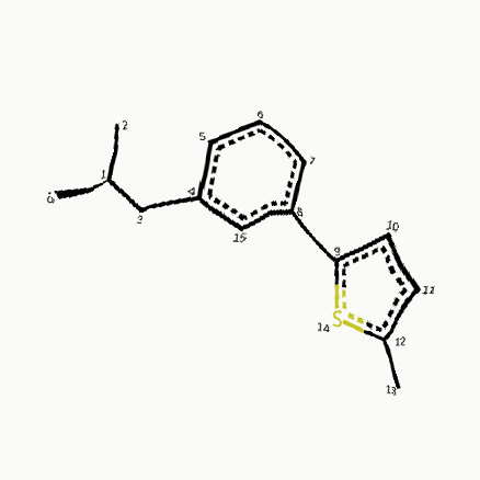 [CH2][C@@H](C)Cc1cccc(-c2ccc(C)s2)c1